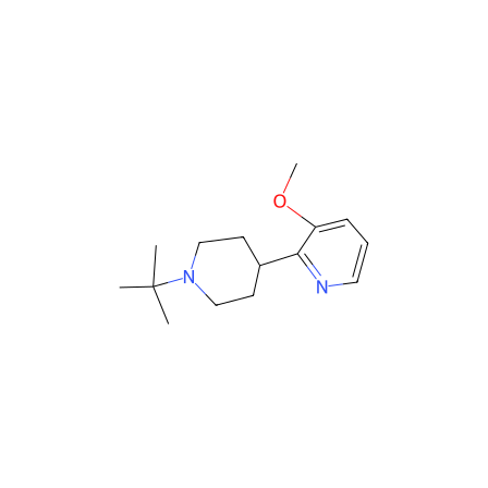 COc1cccnc1C1CCN(C(C)(C)C)CC1